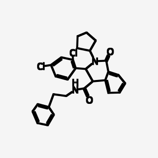 O=C(NCCc1ccccc1)C1c2ccccc2C(=O)N(C2CCCC2)C1c1ccc(Cl)cc1Cl